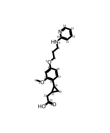 COc1cc(OCCCNc2ccccn2)ccc1C1CC1CC(=O)O